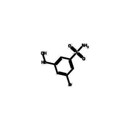 NS(=O)(=O)c1cc(Br)cc(BO)c1